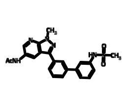 CC(=O)Nc1cnc2c(c1)c(-c1cccc(-c3cccc(NS(C)(=O)=O)c3)c1)nn2C